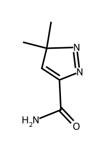 CC1(C)C=C(C(N)=O)N=N1